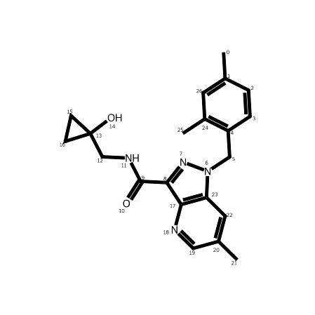 Cc1ccc(Cn2nc(C(=O)NCC3(O)CC3)c3ncc(C)cc32)c(C)c1